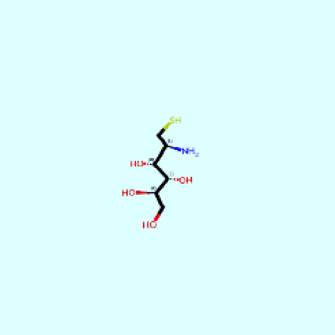 N[C@H](CS)[C@@H](O)[C@H](O)[C@H](O)CO